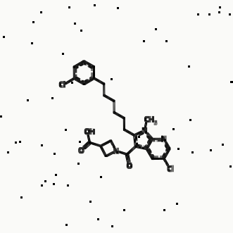 Cn1c(CCCCCCc2cccc(Cl)c2)c(C(=O)N2CC(C(=O)O)C2)c2cc(Cl)cnc21